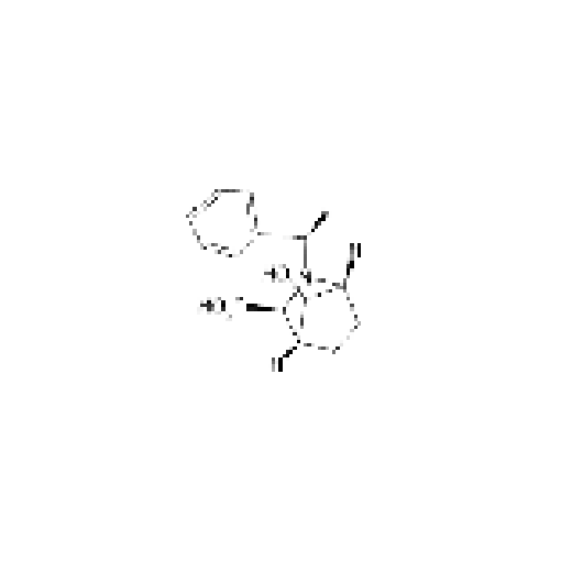 C[C@H](c1ccccc1)N1[C@@H]2CC[C@@H](C2O)[C@H]1C(=O)O